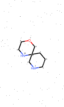 C1CNCC2(C1)COCCN2